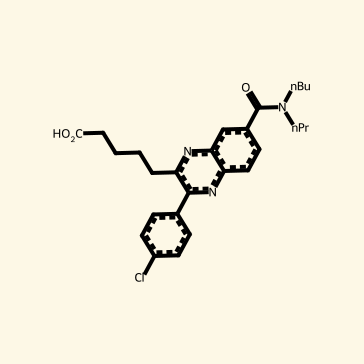 CCCCN(CCC)C(=O)c1ccc2nc(-c3ccc(Cl)cc3)c(CCCCC(=O)O)nc2c1